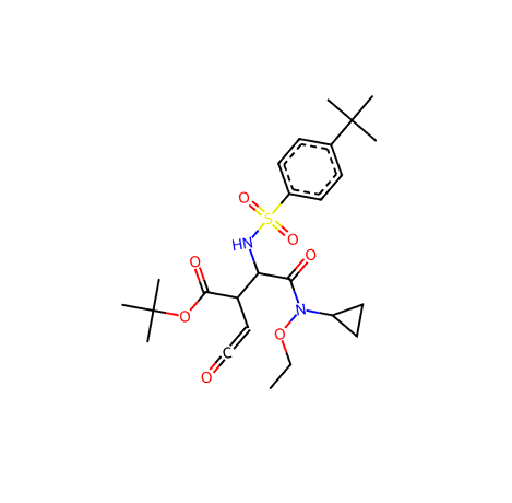 CCON(C(=O)C(NS(=O)(=O)c1ccc(C(C)(C)C)cc1)C(C=C=O)C(=O)OC(C)(C)C)C1CC1